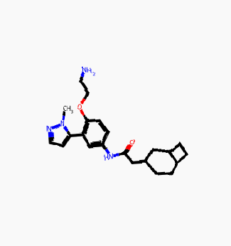 Cn1nccc1-c1cc(NC(=O)CC2CCC3CCC3C2)ccc1OCCN